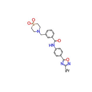 CC(C)c1noc(-c2ccc(NC(=O)c3cccc(CN4CCS(=O)(=O)CC4)c3)cc2)n1